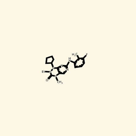 CCN1C(=O)N(C)c2cnc(Nc3cccc(F)c3C)nc2N1C1CCCC1